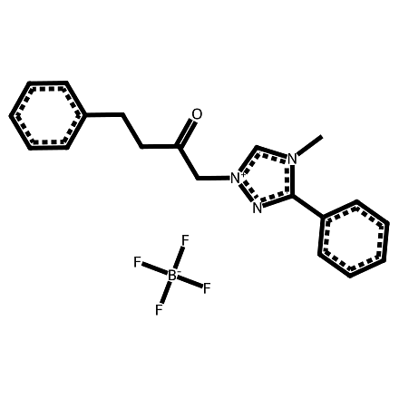 Cn1c[n+](CC(=O)CCc2ccccc2)nc1-c1ccccc1.F[B-](F)(F)F